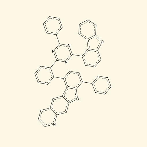 c1ccc(-c2nc(-c3ccccc3-c3ccc(-c4ccccc4)c4oc5cc6ncccc6cc5c34)nc(-c3cccc4oc5ccccc5c34)n2)cc1